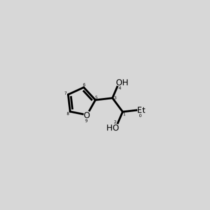 CCC(O)C(O)c1ccco1